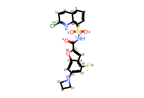 O=C(NS(=O)(=O)c1cccc2ccc(Cl)nc12)c1cc2c(F)cc(N3CCC3)cc2o1